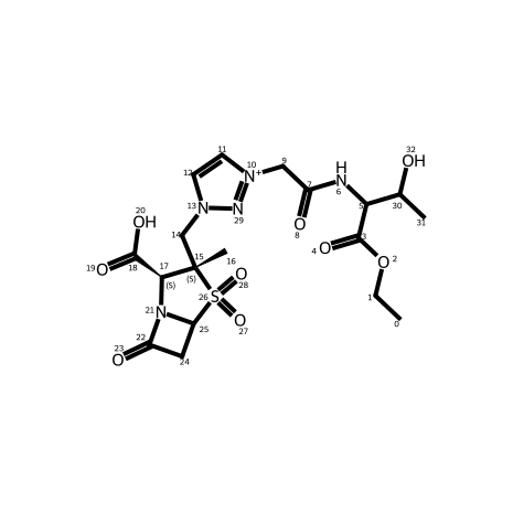 CCOC(=O)C(NC(=O)C[n+]1ccn(C[C@@]2(C)[C@H](C(=O)O)N3C(=O)CC3S2(=O)=O)n1)C(C)O